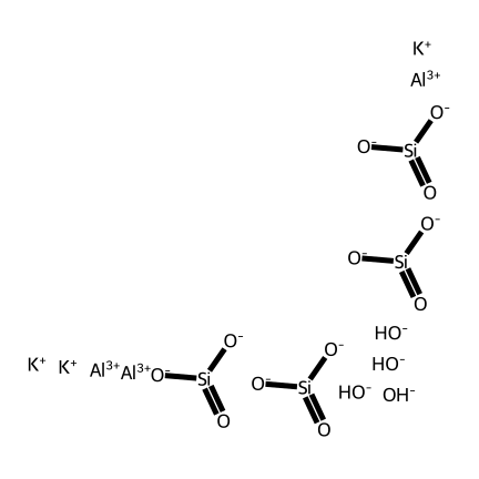 O=[Si]([O-])[O-].O=[Si]([O-])[O-].O=[Si]([O-])[O-].O=[Si]([O-])[O-].[Al+3].[Al+3].[Al+3].[K+].[K+].[K+].[OH-].[OH-].[OH-].[OH-]